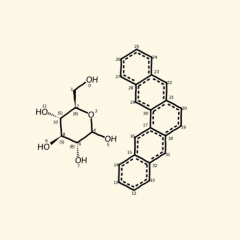 OC[C@H]1OC(O)[C@H](O)[C@@H](O)[C@@H]1O.c1ccc2cc3c(ccc4cc5ccccc5cc43)cc2c1